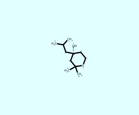 CC(C)C[C@@]1(O)CCOC(C)(C)C1